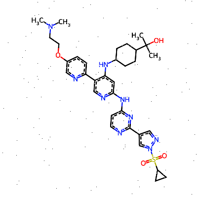 CN(C)CCOc1ccc(-c2cnc(Nc3ccnc(-c4cnn(S(=O)(=O)C5CC5)c4)n3)cc2NC2CCC(C(C)(C)O)CC2)nc1